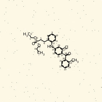 CCOP(=O)(CCc1ccccc1Nc1ccc(C(=O)c2ccccc2C)c(Cl)c1)OCC